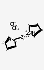 C1=C[SiH]([Zr+2][SiH]2C=CC=C2)C=C1.[Cl-].[Cl-]